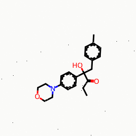 CCC(=O)C(O)(Cc1ccc(C)cc1)c1ccc(N2CCOCC2)cc1